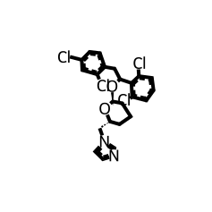 Clc1ccc(CC(O[C@H]2CCC[C@H](Cn3ccnc3)O2)c2c(Cl)cccc2Cl)c(Cl)c1